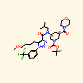 COCCCCc1c(C(=O)N(CC(C)C)[C@H]2C[C@@H](C(=O)N3CCOCC3)CN(C(=O)OC(C)(C)C)C2)nnn1-c1cccc(C(F)(F)F)c1